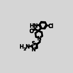 Nc1ncc(CN2CCC3(CC2)C(=O)Nc2ccc(Cl)cc23)s1